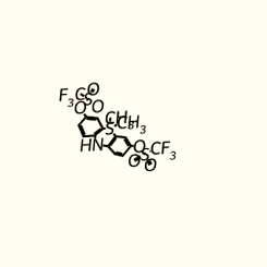 CS1(C)c2cc(OS(=O)(=O)C(F)(F)F)ccc2Nc2ccc(OS(=O)(=O)C(F)(F)F)cc21